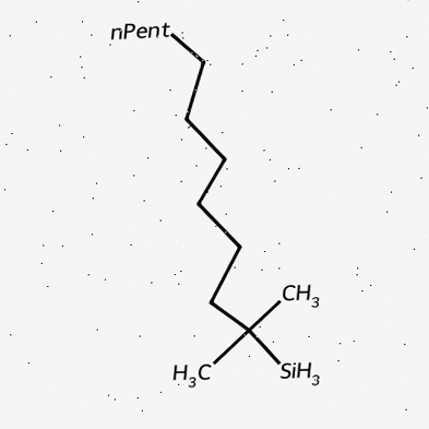 CCCCCCCCCCCC(C)(C)[SiH3]